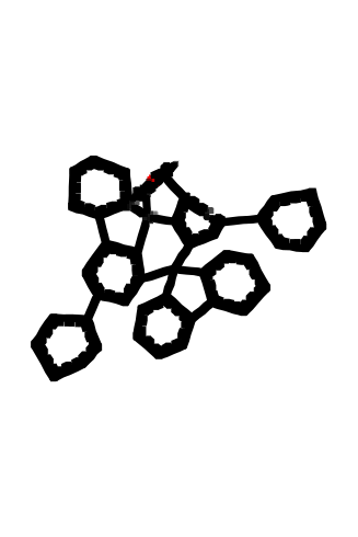 c1ccc(-c2cc3c4c(c2)C2(c5ccccc5-c5ccccc52)c2cc(-c5ccccc5)cc5c2[N+]4([n+]2ccccc2-3)[n+]2ccccc2-5)cc1